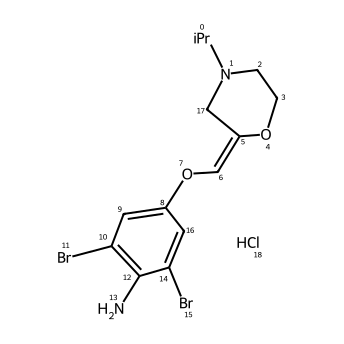 CC(C)N1CCOC(=COc2cc(Br)c(N)c(Br)c2)C1.Cl